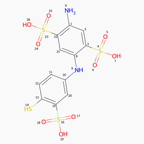 Nc1cc(S(=O)(=O)O)c(Nc2ccc(S)c(S(=O)(=O)O)c2)cc1S(=O)(=O)O